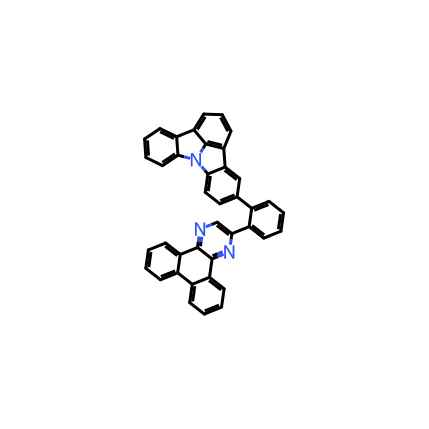 c1ccc(-c2cnc3c4ccccc4c4ccccc4c3n2)c(-c2ccc3c(c2)c2cccc4c5ccccc5n3c42)c1